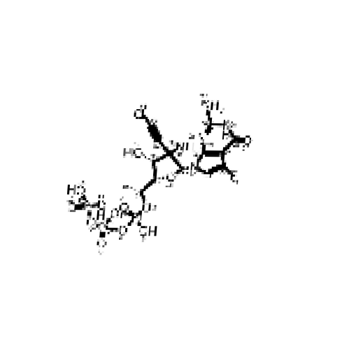 C[C@@H](OP(=O)(O)OP(=O)(O)OP(=O)(O)O)[C@H]1O[C@@H](n2cc(F)c3c(=O)[nH]c(N)nc32)C(N)(C#CCl)[C@H]1O